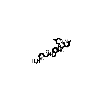 Cc1ccc(C(=O)Nc2ccc3c(c2)CCN3C(=O)Cc2cccc(N)n2)c(N2CCC(C)CC2)n1